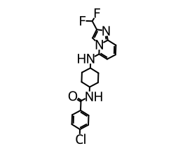 O=C(NC1CCC(Nc2cccc3nc(C(F)F)cn23)CC1)c1ccc(Cl)cc1